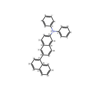 c1ccc(N(c2ccccc2)c2ccc3cc(-c4cccc5ccccc45)ccc3c2)cc1